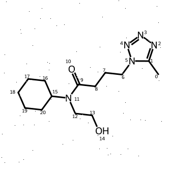 Cc1nnnn1CCCC(=O)N(CCO)C1CCCCC1